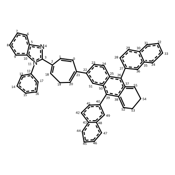 C1=CC(c2nc3ccccc3n2-c2ccccc2)=CCC=C1c1ccc2c(-c3ccc4ccccc4c3)c3c(c(-c4ccc5ccccc5c4)c2c1)=CCCC=3